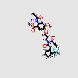 C#CC(=O)Nc1cc(OC)c(OCCCN(C(=O)C#C)C(=O)Cc2ccccc2C(F)(F)F)cc1C(=O)OC